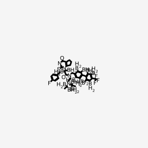 Bc1c(B)c(-c2c(B)c(B)c(C(F)(F)F)c(B)c2B)c(B)c(B)c1CN(CCN(C(B)(B)C)C(B)(B)C)C(=O)C(B)(B)n1c(SCc2ccc(F)cc2)nc(=O)c2c1CCC2